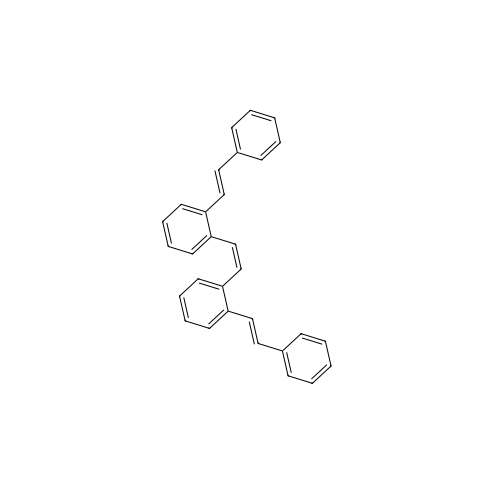 C(=C/c1ccccc1/C=C/c1ccccc1)/c1ccccc1/C=C/c1ccccc1